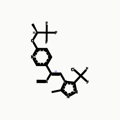 C=N/C(=C\n1c(C)nnc1C(F)(F)Cl)c1ccc(O[C@@H](C)C(F)(F)F)nc1